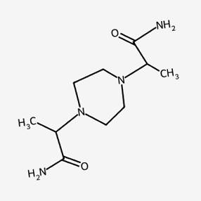 CC(C(N)=O)N1CCN(C(C)C(N)=O)CC1